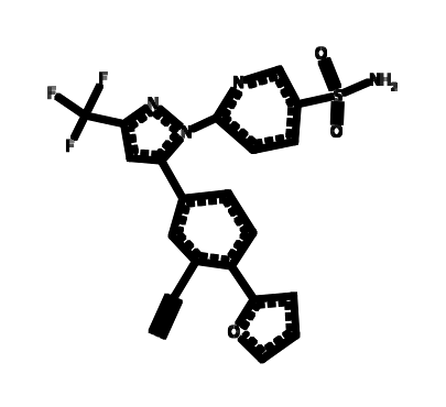 C#Cc1cc(-c2cc(C(F)(F)F)nn2-c2ccc(S(N)(=O)=O)cn2)ccc1-c1ccco1